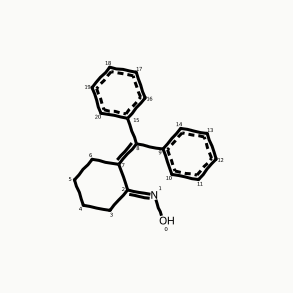 ON=C1CCCCC1=C(c1ccccc1)c1ccccc1